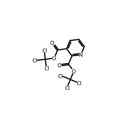 O=C(OC(Cl)(Cl)Cl)c1cccnc1C(=O)OC(Cl)(Cl)Cl